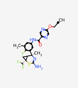 C#CCOc1cnc(C(=O)Nc2cc(C)c(F)c([C@@]3(C)N=C(N)S[C@@]4(C(F)F)CC43)c2)cn1